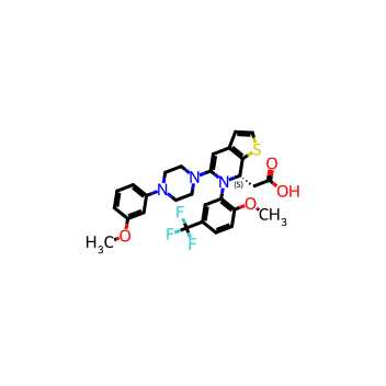 COc1cccc(N2CCN(C3=Cc4ccsc4[C@H](CC(=O)O)N3c3cc(C(F)(F)F)ccc3OC)CC2)c1